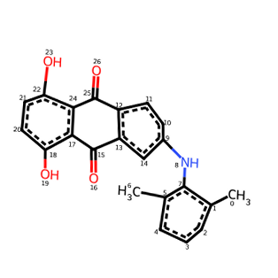 Cc1cccc(C)c1Nc1ccc2c(c1)C(=O)c1c(O)ccc(O)c1C2=O